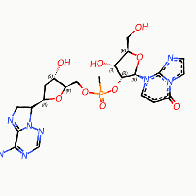 CP(=O)(OC[C@H]1O[C@@H](C2CN=C3C(N)=NC=NN32)C[C@@H]1O)O[C@@H]1[C@H](O)[C@@H](CO)O[C@H]1n1ccc(=O)n2ccnc12